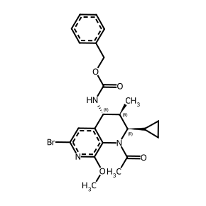 COc1nc(Br)cc2c1N(C(C)=O)[C@H](C1CC1)[C@H](C)[C@H]2NC(=O)OCc1ccccc1